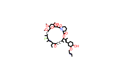 C/C=C/COC1CC(C=C(C)C2OC(=O)C3CCCCN3C(=O)C(=O)C3(O)OC(C(OC)CC(C)C(F)/C(C)=C/C(CC)C(=O)CCC2C)C(OC)CC3C)CCC1O